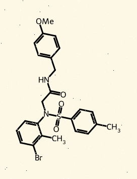 COc1ccc(CNC(=O)CN(c2cccc(Br)c2C)S(=O)(=O)c2ccc(C)cc2)cc1